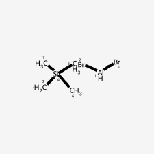 [Br][AlH][Br].[CH2][Si](C)(C)C